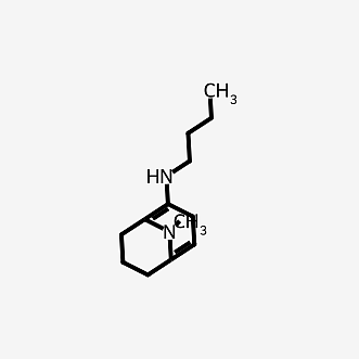 CCCCNC1=C2CCCC(=CC1)N2C